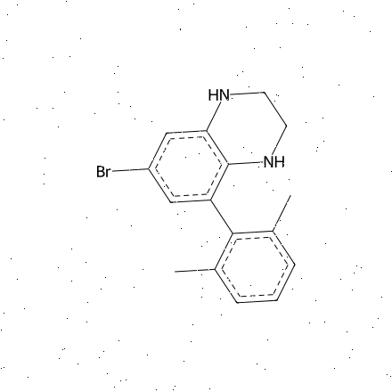 Cc1cccc(C)c1-c1cc(Br)cc2c1NCCN2